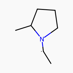 C[CH]N1CCCC1C